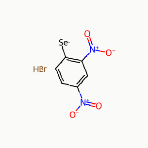 Br.O=[N+]([O-])c1ccc([Se])c([N+](=O)[O-])c1